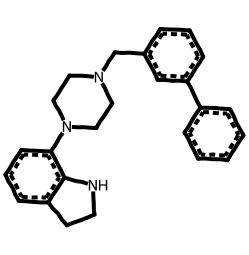 c1ccc(-c2cccc(CN3CCN(c4cccc5c4NCC5)CC3)c2)cc1